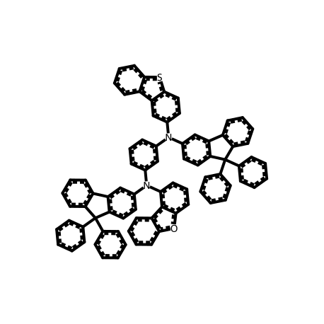 c1ccc(C2(c3ccccc3)c3ccccc3-c3cc(N(c4cccc(N(c5ccc6c(c5)-c5ccccc5C6(c5ccccc5)c5ccccc5)c5cccc6oc7ccccc7c56)c4)c4ccc5sc6ccccc6c5c4)ccc32)cc1